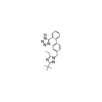 CCc1nc(C(C)(C)C)nn1Cc1ccc(-c2ccccc2-c2nnn[nH]2)cc1